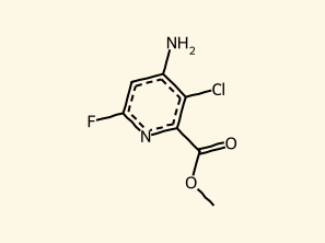 COC(=O)c1nc(F)cc(N)c1Cl